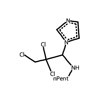 CCCCCNC(n1ccnc1)C(Cl)(Cl)CCl